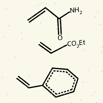 C=CC(=O)OCC.C=CC(N)=O.C=Cc1ccccc1